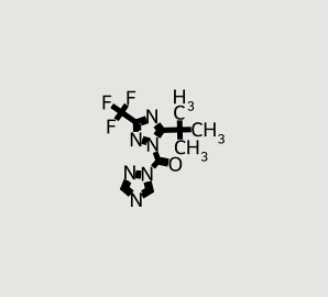 CC(C)(C)c1nc(C(F)(F)F)nn1C(=O)n1cncn1